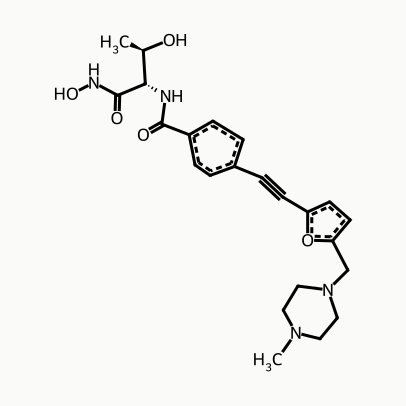 C[C@@H](O)[C@H](NC(=O)c1ccc(C#Cc2ccc(CN3CCN(C)CC3)o2)cc1)C(=O)NO